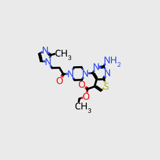 CCOC(=O)c1csc2nc(N)nc(N3CCN(C(=O)CCn4ccnc4C)CC3)c12